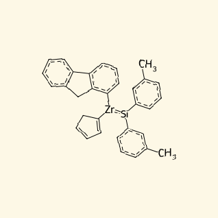 Cc1cccc([Si](c2cccc(C)c2)=[Zr]([C]2=CC=CC2)[c]2cccc3c2Cc2ccccc2-3)c1